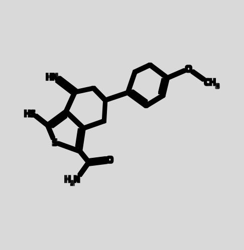 COC1=CC=C(C2CC(=N)c3c(S)sc(C(N)=O)c3C2)CC1